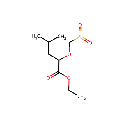 CCOC(=O)C(CC(C)C)OC[SH](=O)=O